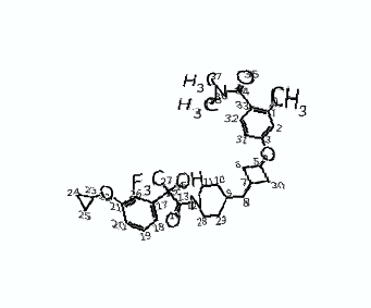 Cc1cc(OC2CC(CC3CCN(C(=O)C(O)(c4cccc(OC5CC5)c4)C(F)(F)F)CC3)C2)ccc1C(=O)N(C)C